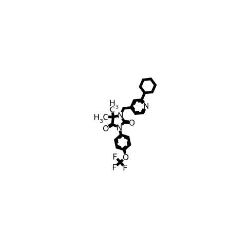 CC1(C)C(=O)N(c2ccc(OC(F)(F)F)cc2)C(=O)N1Cc1ccnc(C2CCCCC2)c1